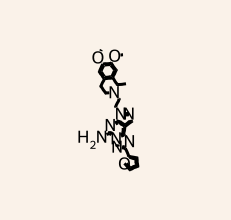 COc1cc2c(cc1OC)C(C)N(CCn1ncc3c1nc(N)n1nc(-c4ccco4)nc31)CC2